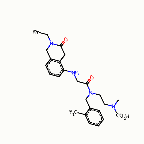 CC(C)CN1Cc2cccc(NCC(=O)N(CCN(C)C(=O)O)Cc3ccccc3C(F)(F)F)c2CC1=O